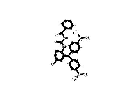 Cc1ccc(NC(=S)NC(=O)c2ccccc2)c(C(c2ccc(N(C)C)cc2)c2ccc(N(C)C)cc2)c1